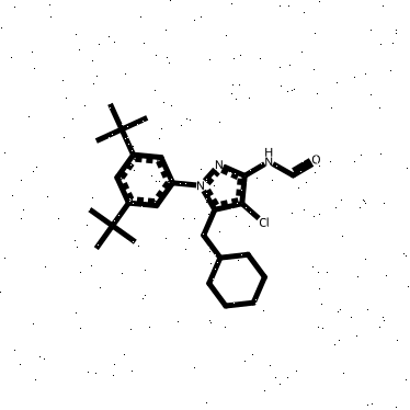 CC(C)(C)c1cc(-n2nc(NC=O)c(Cl)c2CC2CCCCC2)cc(C(C)(C)C)c1